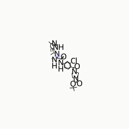 CN/C(=N\C(C)[C@@H]1CC(C)=NN1)C(=O)Nc1ccc(C(=O)N2CCN(C(=O)OC(C)(C)C)CC2)c(Cl)c1